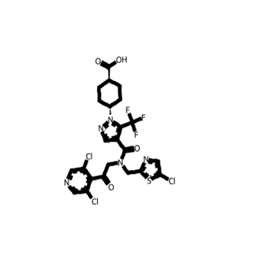 O=C(CN(Cc1ncc(Cl)s1)C(=O)c1cnn([C@H]2CC[C@H](C(=O)O)CC2)c1C(F)(F)F)c1c(Cl)cncc1Cl